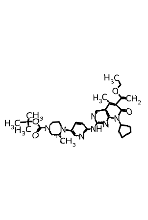 C=C(OCC)c1c(C)c2cnc(Nc3ccc(N4CCN(C(=O)OC(C)(C)C)C[C@@H]4C)cn3)nc2n(C2CCCC2)c1=O